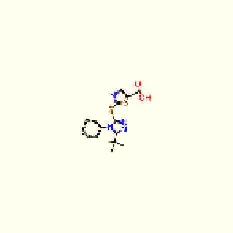 CC(C)(C)c1nnc(Sc2ncc(C(=O)O)s2)n1-c1ccccc1